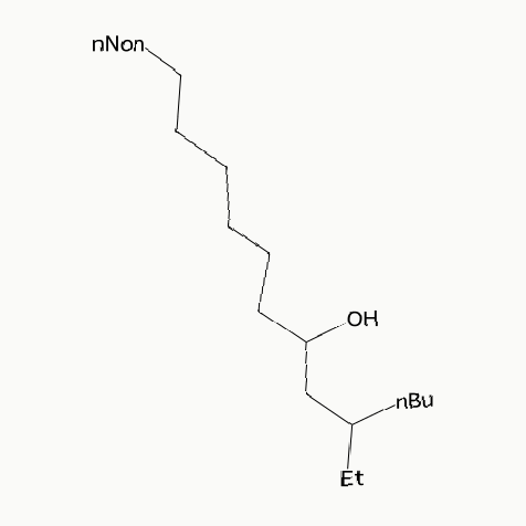 CCCCCCCCCCCCCCCC(O)CC(CC)CCCC